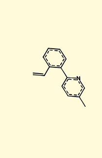 C=Cc1ccccc1-c1ccc(C)cn1